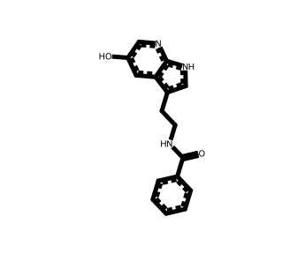 O=C(NCCc1c[nH]c2ncc(O)cc12)c1ccccc1